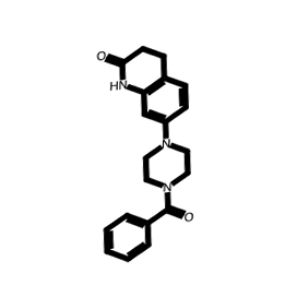 O=C1CCc2ccc(N3CCN(C(=O)c4ccccc4)CC3)cc2N1